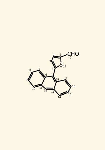 O=Cc1ccc(-c2c3ccccc3cc3ccccc23)s1